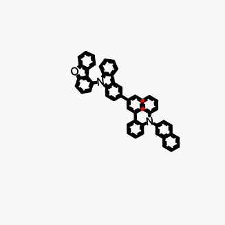 c1ccc(N(c2ccc3ccccc3c2)c2ccccc2-c2cccc(-c3ccc4c(c3)c3ccccc3n4-c3cccc4oc5ccccc5c34)c2)cc1